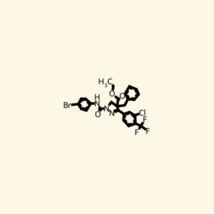 CCOC(=O)C1(Cc2ccccc2)CN(C(=O)Nc2ccc(Br)cc2)N=C1c1ccc(C(F)(F)F)c(Cl)c1